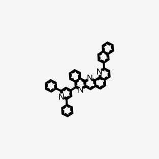 c1ccc(-c2cc(-c3nc4cc5ccc6ccc(-c7ccc8ccccc8c7)nc6c5nc4c4ccccc34)cc(-c3ccccc3)n2)cc1